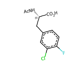 CC(=O)N[C@@H](Cc1ccc(F)c(Cl)c1)C(=O)O